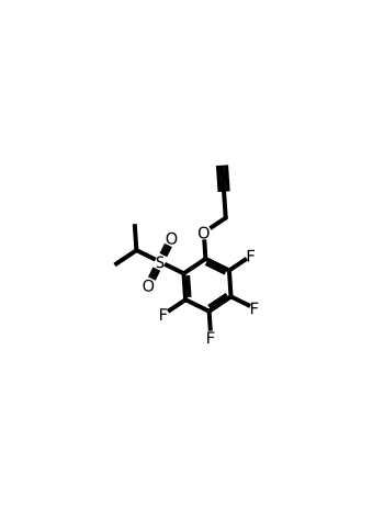 C#CCOc1c(F)c(F)c(F)c(F)c1S(=O)(=O)C(C)C